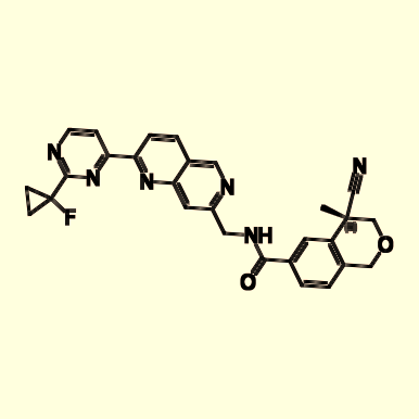 C[C@@]1(C#N)COCc2ccc(C(=O)NCc3cc4nc(-c5ccnc(C6(F)CC6)n5)ccc4cn3)cc21